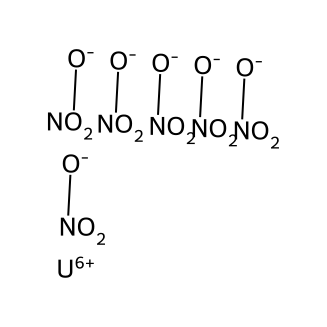 O=[N+]([O-])[O-].O=[N+]([O-])[O-].O=[N+]([O-])[O-].O=[N+]([O-])[O-].O=[N+]([O-])[O-].O=[N+]([O-])[O-].[U+6]